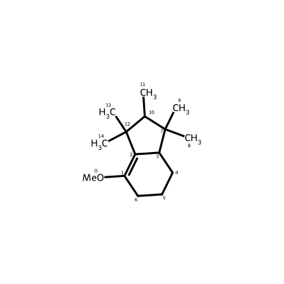 COC1=C2C(CCC1)C(C)(C)C(C)C2(C)C